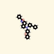 c1ccc(-c2cccc(N(c3ccc4c(c3)oc3ccccc34)c3cccc4c3ccc3oc(-c5ccccc5)nc34)c2)cc1